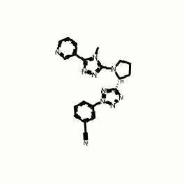 Cn1c(-c2cccnc2)nnc1N1CCC[C@@H]1c1nnn(-c2cccc(C#N)c2)n1